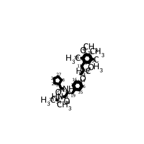 COc1c(C)c(C)c(OC)c(CCCOc2ccc(C[C@H](NC(=O)C3CCCC3)C(=O)NC(C)C)cc2)c1C